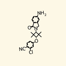 CC1(C)[C@H](Oc2ccc(C#N)c(Cl)c2)C(C)(C)[C@H]1N1Cc2cc(N)ccc2C1=O